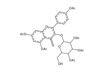 CC(=O)Oc1ccc(-c2oc3cc(OC(C)=O)cc(OC(C)=O)c3c(=O)c2OC2OC(CO)C(OC(C)=O)C(OC(C)=O)C2OC(C)=O)cc1